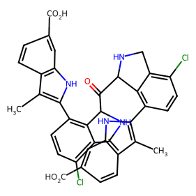 Cc1c(-c2ccc(Cl)c3c2C(C(=O)C2NCc4c(Cl)ccc(-c5[nH]c6cc(C(=O)O)ccc6c5C)c42)NC3)[nH]c2cc(C(=O)O)ccc12